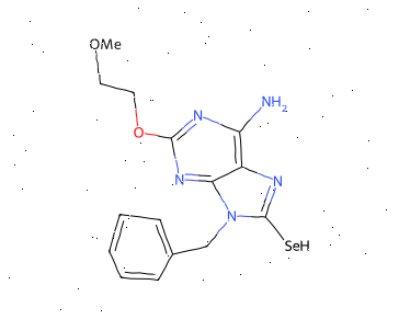 COCCOc1nc(N)c2nc([SeH])n(Cc3ccccc3)c2n1